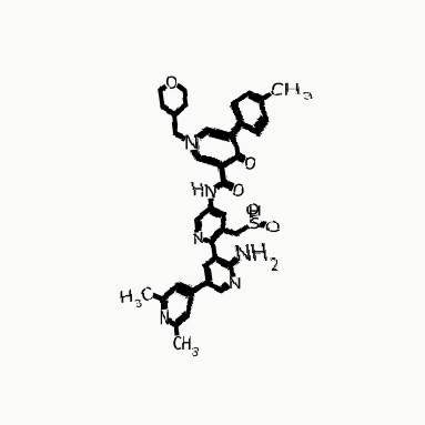 Cc1ccc(-c2cn(CC3CCOCC3)cc(C(=O)Nc3cnc(-c4cc(-c5cc(C)nc(C)c5)cnc4N)c(C[SH](=O)=O)c3)c2=O)cc1